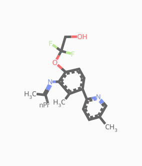 CCC/C(C)=N\c1c(OC(F)(F)CO)ccc(-c2ccc(C)cn2)c1C